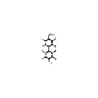 CCCCCCCCc1c(F)c(F)c(-c2c(F)c(F)c(O)c(F)c2F)c(F)c1F